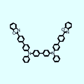 c1ccc(N(c2ccc(-c3ccc(-c4nc5ccccc5o4)cc3)cc2)c2ccc(-c3ccc(N(c4ccccc4)c4ccc(-c5ccc(-c6nc7ccccc7o6)cc5)cc4)cc3)cc2)cc1